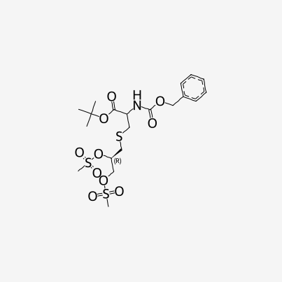 CC(C)(C)OC(=O)C(CSC[C@@H](COS(C)(=O)=O)OS(C)(=O)=O)NC(=O)OCc1ccccc1